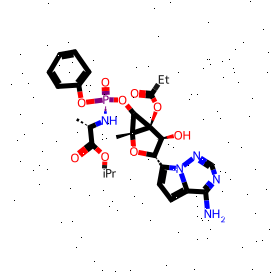 CCC(=O)O[C@]12C(O[P@@](=O)(N[C@@H](C)C(=O)OC(C)C)Oc3ccccc3)[C@@]1(C)O[C@@H](c1ccc3c(N)ncnn13)[C@@H]2O